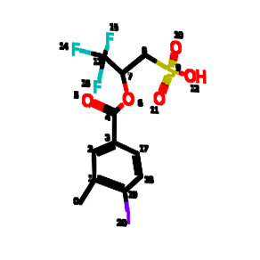 Cc1cc(C(=O)OC(CS(=O)(=O)O)C(F)(F)F)ccc1I